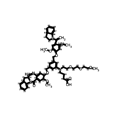 C=C(c1cc(OC)c(OCc2cc(COC3C=C4N=C[C@@H]5Cc6ccccc6N5C(=O)C4=CC3OC)cc(N(CCCC(=O)O)CCOCCOCCOC)c2)cc1NC)N1CCc2ccccc21